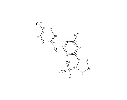 CS(=O)(=O)[SH]1CCCC1c1cc(Cl)nc(Oc2ccc(Cl)cc2)c1